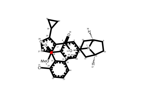 COC(=O)c1ncc(N2[C@@H]3CC[C@H]2C[C@H](OC(=O)c2c(-c4c(Cl)cccc4Cl)noc2C2CC2)C3)cn1